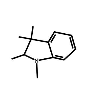 CC1N(C)c2ccccc2C1(C)C